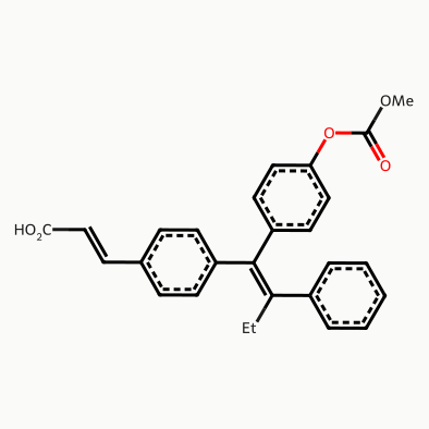 CC/C(=C(\c1ccc(/C=C/C(=O)O)cc1)c1ccc(OC(=O)OC)cc1)c1ccccc1